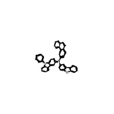 c1ccc(-n2c3ccccc3c3cc(N(c4ccc5ccc6ccccc6c5c4)c4ccc5oc6ccccc6c5c4)ccc32)cc1